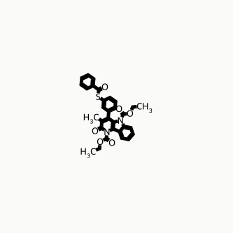 CCOC(=O)n1c(=O)c(C)c(-c2cccc(SC(=O)c3ccccc3)c2)c2c1c1ccccc1n2C(=O)OCC